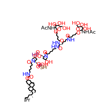 CC(=O)NC1C(OCCCCC(=O)NCCCC[C@H](NC(=O)CCCCOC2OC(CO)C(O)C(O)C2NC(C)=O)C(=O)NCCCCCC(=O)N2C[C@H](O)C[C@H]2CO[PH](=O)O[C@@H]2C[C@@H](COP(=O)(O)S)N(C(=O)CCCCCNC(=O)O[C@H]3CC[C@@]4(C)C(=CCC5C4CC[C@@]4(C)C5CC[C@@H]4[C@H](C)CCCC(C)C)C3)C2)OC(CO)C(O)C1O